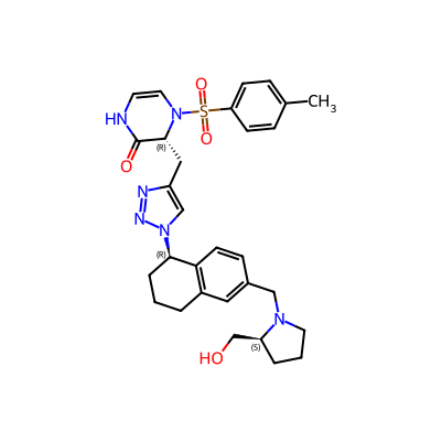 Cc1ccc(S(=O)(=O)N2C=CNC(=O)[C@H]2Cc2cn([C@@H]3CCCc4cc(CN5CCC[C@H]5CO)ccc43)nn2)cc1